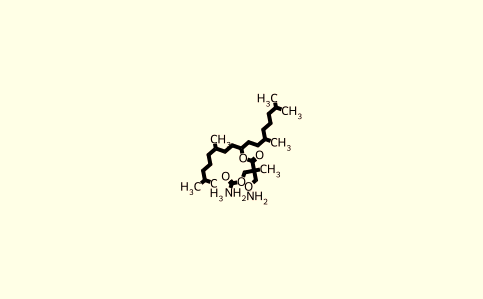 CC(C)CCCC(C)CCC(CCC(C)CCCC(C)C)OC(=O)C(C)(CON)COC(N)=O